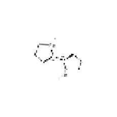 C[P@@]1CCC[C@@H]1[C@H]1CCC[P@]1C